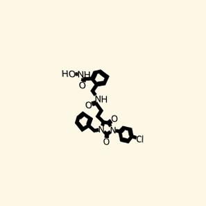 O=C(CCC1C(=O)N(c2ccc(Cl)cc2)C(=O)N1Cc1ccccc1)NCc1ccccc1C(=O)NO